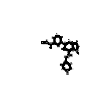 Cn1ccc2nc(-c3cccc(NC=O)c3)nc(NCc3ccncc3)c21